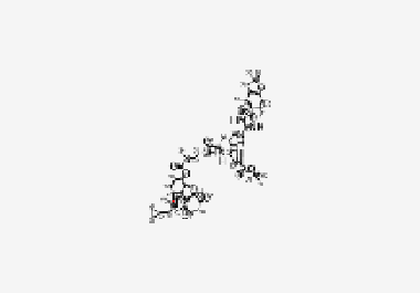 Cc1c(C)c(S(=O)(=O)NC(=N)NCCC[C@H](NC(=O)CNC(=O)OC(C)(C)C)C(=O)NCCN(C)C(=O)Oc2ccc3c4c2O[C@H]2C(=O)CC[C@@]5(O)C(C3)[N@+](C)(CC3CC3)CC[C@]425)c(C)c2c1OC(C)(C)C2